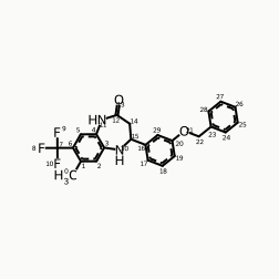 Cc1cc2c(cc1C(F)(F)F)NC(=O)CC(c1cccc(OCc3ccccc3)c1)N2